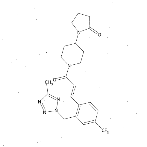 Cc1nnn(Cc2cc(C(F)(F)F)ccc2C=CC(=O)N2CCC(N3CCCC3=O)CC2)n1